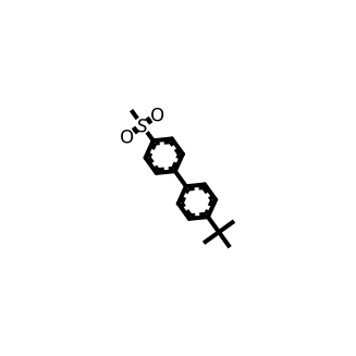 CC(C)(C)c1ccc(-c2ccc(S(C)(=O)=O)cc2)cc1